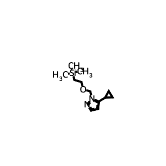 C[Si](C)(C)CCOCn1nccc1C1CC1